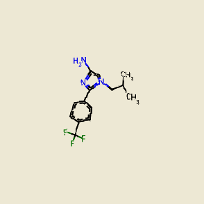 CC(C)Cn1cc(N)nc1-c1ccc(C(F)(F)F)cc1